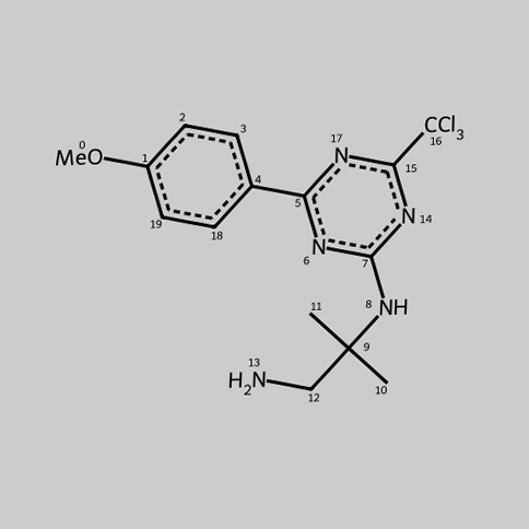 COc1ccc(-c2nc(NC(C)(C)CN)nc(C(Cl)(Cl)Cl)n2)cc1